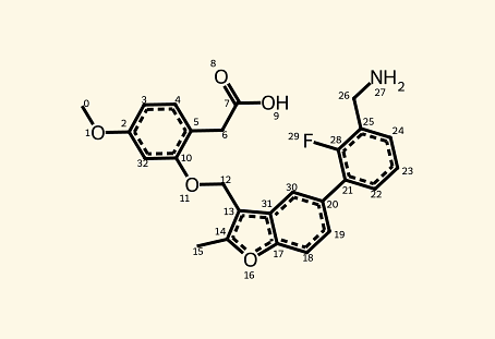 COc1ccc(CC(=O)O)c(OCc2c(C)oc3ccc(-c4cccc(CN)c4F)cc23)c1